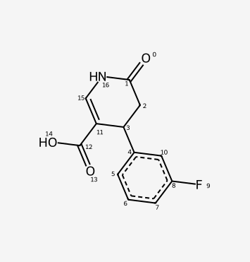 O=C1CC(c2cccc(F)c2)C(C(=O)O)=CN1